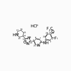 Cl.Fc1cc(Nc2ccc(-c3noc(C4CCCNC4)n3)cn2)ccc1OC(F)(F)F